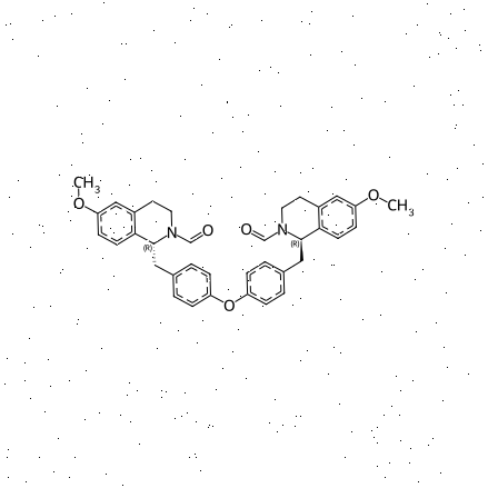 COc1ccc2c(c1)CCN(C=O)[C@@H]2Cc1ccc(Oc2ccc(C[C@@H]3c4ccc(OC)cc4CCN3C=O)cc2)cc1